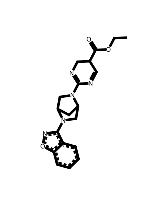 CCOC(=O)C1C=NC(N2CC3CC2CN3c2noc3ccccc23)=NC1